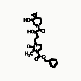 C[C@H]1C(=O)N(CC[C@H](O)C(=O)N2CCC3(CC3)[C@H](O)C2)CCN1C(=O)OCc1ccccc1